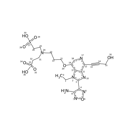 CCn1c(-c2nonc2N)nc2c(C#CCO)ncc(OCCCN(CCS(=O)(=O)O)CCS(=O)(=O)O)c21